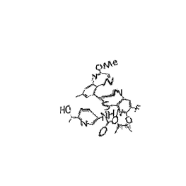 COc1cnc2c(-c3nc4cc(F)c(O[C@@H](C)[C@@H](C)OC(=O)Nc5ccc(C(C)O)nc5)nc4s3)cc(C)cc2n1